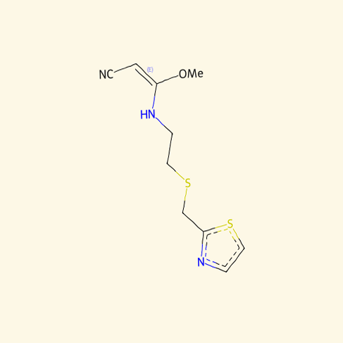 CO/C(=C/C#N)NCCSCc1nccs1